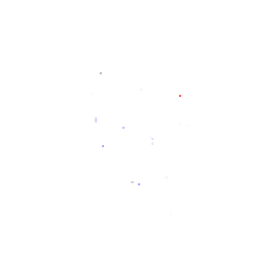 CO[C@@H]1[C@H](O)[C@@H](C(C)=O)C[C@H]1Nc1nc(Nc2cc(C)nc(C)c2)ncc1-c1nc2ccccc2s1